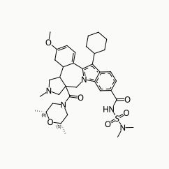 COC1=CC=C2c3c(C4CCCCC4)c4ccc(C(=O)NS(=O)(=O)N(C)C)cc4n3CC3(C(=O)N4C[C@@H](C)O[C@@H](C)C4)CN(C)CC3C2C1